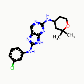 CC1(C)CC(Nc2ncc3nc(Nc4cccc(Cl)c4)[nH]c3n2)CCO1